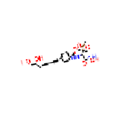 CC(C)([C@H](NC(=O)c1ccc(C#CC#CCC(O)CO)cc1)C(=O)NO)S(C)(=O)=O